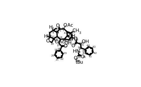 CC(=O)O[C@H]1C(=O)[C@]23C[C@H]2C[C@H]2OC[C@@]2(OC(C)=O)C3C(CC(=O)c2ccccc2)[C@]2(O)C[C@H](OC(=O)[C@H](O)[C@@H](NC(=O)OC(C)(C)C)c3ccccc3)C(C)=C1C2(C)C